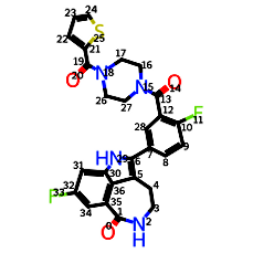 O=C1NCCc2c(-c3ccc(F)c(C(=O)N4CCN(C(=O)c5cccs5)CC4)c3)[nH]c3cc(F)cc1c23